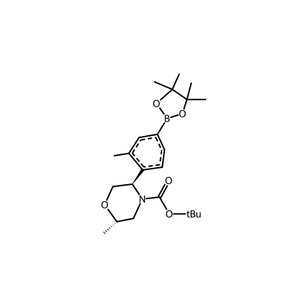 Cc1cc(B2OC(C)(C)C(C)(C)O2)ccc1[C@@H]1CO[C@@H](C)CN1C(=O)OC(C)(C)C